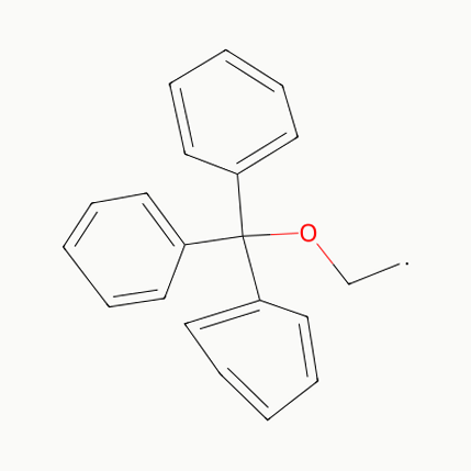 [CH2]COC(c1ccccc1)(c1ccccc1)c1ccccc1